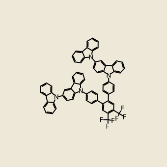 FC(F)(F)c1cc(-c2ccc(-n3c4ccccc4c4cc(-n5c6ccccc6c6ccccc65)ccc43)cc2)c(-c2ccc(-n3c4ccccc4c4cc(-n5c6ccccc6c6ccccc65)ccc43)cc2)cc1C(F)(F)F